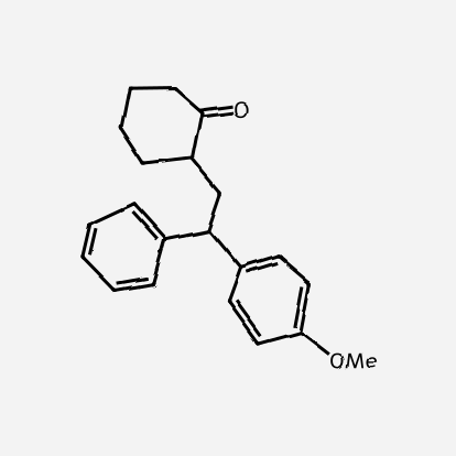 COc1ccc(C(CC2CCCCC2=O)c2ccccc2)cc1